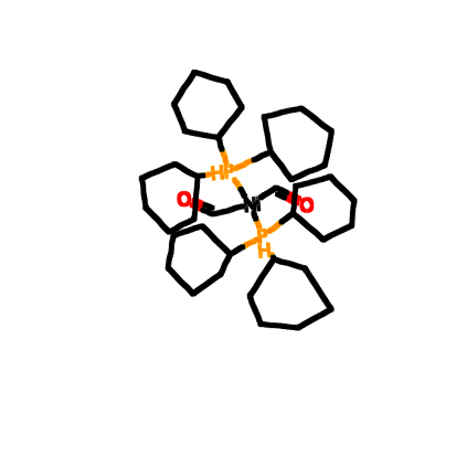 O=[CH][Ni]([CH]=O)([PH](C1CCCCC1)(C1CCCCC1)C1CCCCC1)[PH](C1CCCCC1)(C1CCCCC1)C1CCCCC1